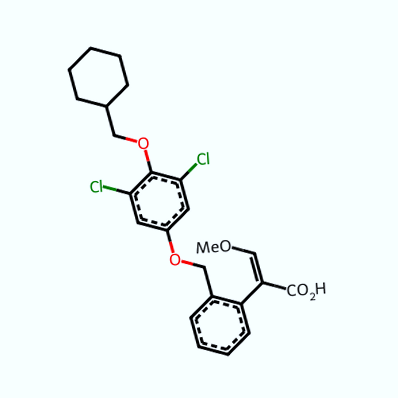 CO/C=C(/C(=O)O)c1ccccc1COc1cc(Cl)c(OCC2CCCCC2)c(Cl)c1